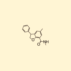 CNC(=O)c1cc(C)cc2c1OCC2c1ccccc1